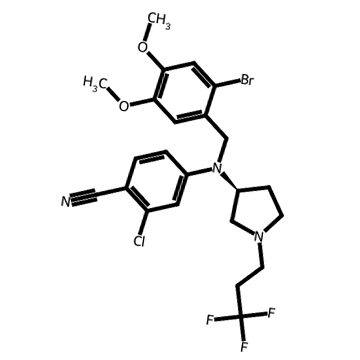 COc1cc(Br)c(CN(c2ccc(C#N)c(Cl)c2)[C@H]2CCN(CCC(F)(F)F)C2)cc1OC